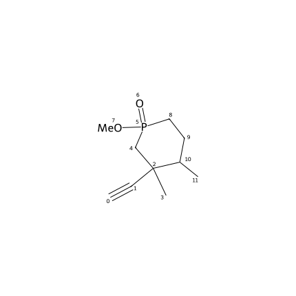 C#CC1(C)CP(=O)(OC)CCC1C